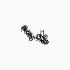 O=C1Nc2ncc(/C=C/C(=O)N3CC4C=C(c5nccs5)CC4C3)cc2CN2CCOCC12